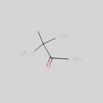 COC(=O)C(C)(OC)OC